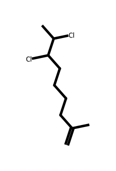 C=C(C)CCCCC(Cl)C(C)Cl